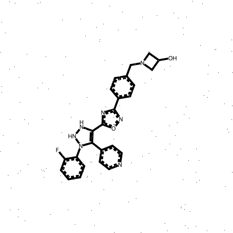 OC1CN(Cc2ccc(-c3noc(C4=C(c5ccncc5)N(c5ccccc5F)NN4)n3)cc2)C1